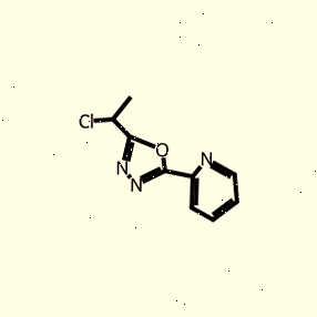 CC(Cl)c1nnc(-c2ccccn2)o1